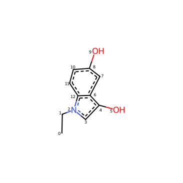 CCn1cc(O)c2cc(O)ccc21